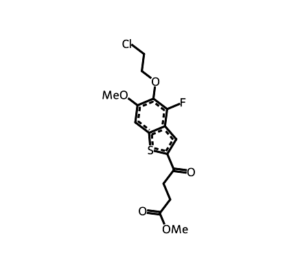 COC(=O)CCC(=O)c1cc2c(F)c(OCCCl)c(OC)cc2s1